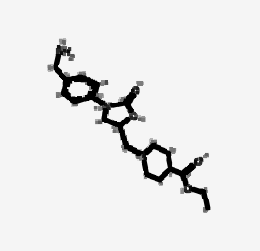 CCOC(=O)C1CCN(CC2CN(c3ccc(CN)cc3)C(=O)O2)CC1